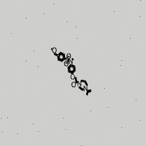 C=C(C)N1CCCN(C(=O)COc2ccc(N(C)S(=O)(=O)c3ccc(COC)cc3)cc2)CC1